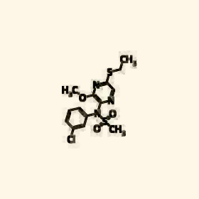 CCSc1cnc(N(c2cccc(Cl)c2)S(C)(=O)=O)c(OC)n1